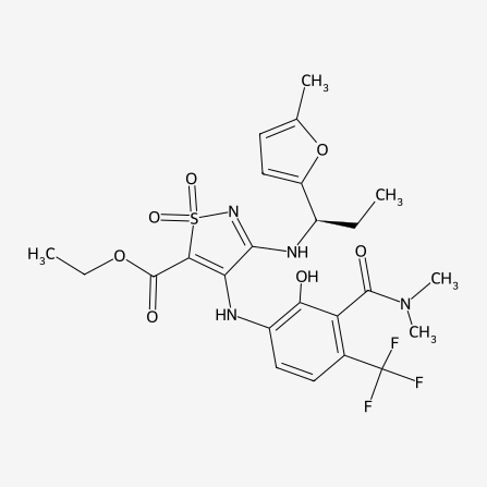 CCOC(=O)C1=C(Nc2ccc(C(F)(F)F)c(C(=O)N(C)C)c2O)C(N[C@H](CC)c2ccc(C)o2)=NS1(=O)=O